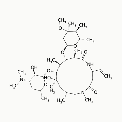 C=CC1CC(=O)N(C)C[C@H](C)C[C@@](C)(O)[C@H](O[C@@H]2O[C@H](C)C[C@H](N(C)C)[C@H]2O)[C@@H](C)[C@H](O[C@H]2C[C@@](C)(OC)[C@@H](C)[C@H](C)O2)[C@@H](C)C(=O)N1